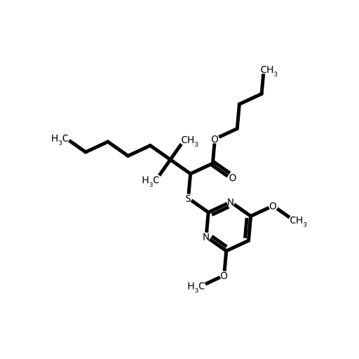 CCCCCC(C)(C)C(Sc1nc(OC)cc(OC)n1)C(=O)OCCCC